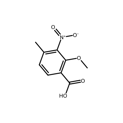 COc1c(C(=O)O)ccc(C)c1[N+](=O)[O-]